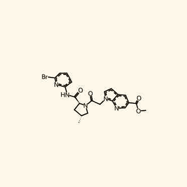 COC(=O)c1cnc2c(ccn2CC(=O)N2C[C@H](C)C[C@H]2C(=O)Nc2cccc(Br)n2)c1